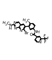 CNc1ncc2cc(-c3cc(NC(=O)c4ccnc(C(F)(F)F)c4)ccc3C)c(Br)nc2n1